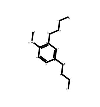 CCCCc1ccc(OC)c(CCCC)c1